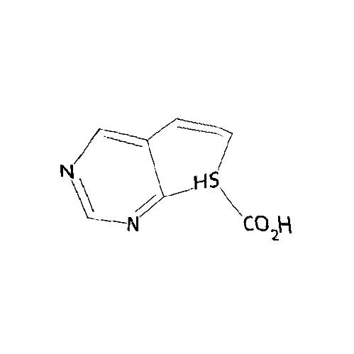 O=C(O)[SH]1C=Cc2cncnc21